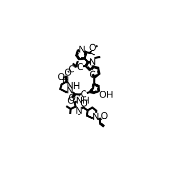 C=CC(=O)N1CCC(C(=O)N(C)C(C(=O)N[C@H]2Cc3cc(O)cc(c3)-c3ccc4c(c3)c(c(-c3cccnc3[C@H](C)OC)n4CC)CC(C)(C)COC(=O)[C@@H]3CCCN(N3)C2=O)C(C)C)CC1